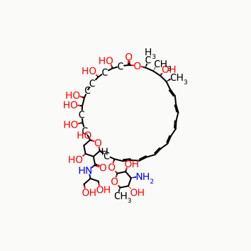 C[C@@H]1OC(=O)CC(O)CC(O)CCC(O)C(O)CC(O)CC2(O)C[C@H](O)C(C(=O)NC(CO)CO)[C@H](CC(O[C@@H]3O[C@H](C)[C@@H](O)[C@H](N)C3O)/C=C/C=C/C=C/C=C/C=C/C=C/C=C/[C@H](C)C(O)[C@H]1C)O2